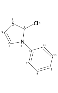 ClC1SC=[C]N1c1ccccc1